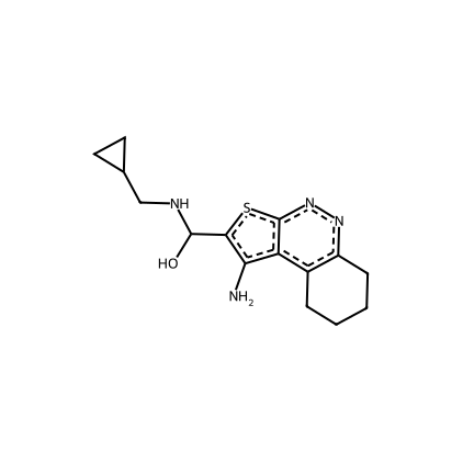 Nc1c(C(O)NCC2CC2)sc2nnc3c(c12)CCCC3